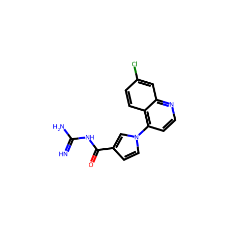 N=C(N)NC(=O)c1ccn(-c2ccnc3cc(Cl)ccc23)c1